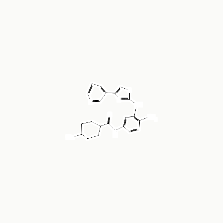 Cc1ccc(NC(=O)C2CCC(C(C)(C)C)CC2)cc1Nc1nc(-c2cccnc2)cs1